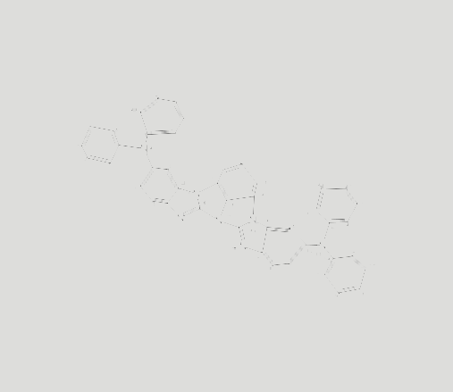 c1ccc(N(c2ccccc2)c2ccc3nc4n(c3c2)c2cccc3c2n4c2nc4ccc(N(c5ccccc5)c5ccccc5)cc4n32)cc1